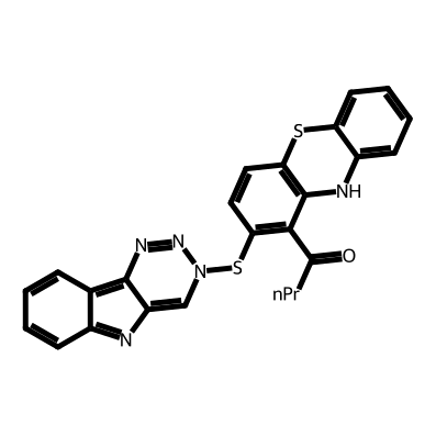 CCCC(=O)c1c(Sn2cc3nc4ccccc4c-3nn2)ccc2c1Nc1ccccc1S2